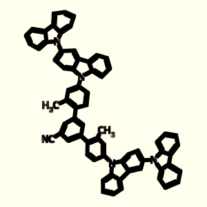 Cc1cc(-n2c3ccccc3c3cc(-n4c5ccccc5c5ccccc54)ccc32)ccc1-c1cc(C#N)cc(-c2ccc(-n3c4ccccc4c4cc(-n5c6ccccc6c6ccccc65)ccc43)cc2C)c1